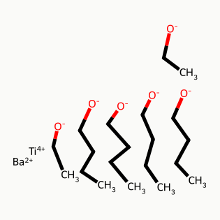 CCCC[O-].CCCC[O-].CCCC[O-].CCCC[O-].CC[O-].CC[O-].[Ba+2].[Ti+4]